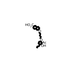 C=CCc1ccc(OCCCCCOc2ccc3cc(C(=O)O)ccc3c2)c(C(C)=O)c1O